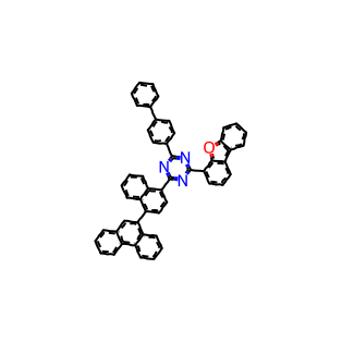 c1ccc(-c2ccc(-c3nc(-c4ccc(-c5cc6ccccc6c6ccccc56)c5ccccc45)nc(-c4cccc5c4oc4ccccc45)n3)cc2)cc1